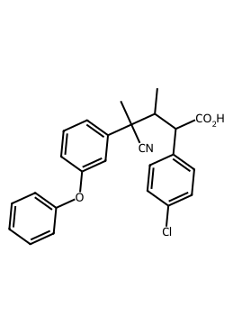 CC(C(C(=O)O)c1ccc(Cl)cc1)C(C)(C#N)c1cccc(Oc2ccccc2)c1